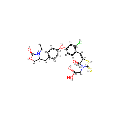 CCN1C(=O)OCC1Cc1ccc(Oc2ccc(C=C3SC(=S)N(CC(=O)O)C3=O)c(Cl)c2)cc1